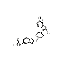 CCc1nc2cc(C)ccc2n1C1CCN(CC2Cc3ccc(NC(=O)C(C)C)cc3C2)CC1